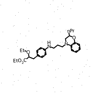 CCCC1CN(CCCNc2ccc(CC(OCC)C(=O)OCC)cc2)c2ccccc2O1